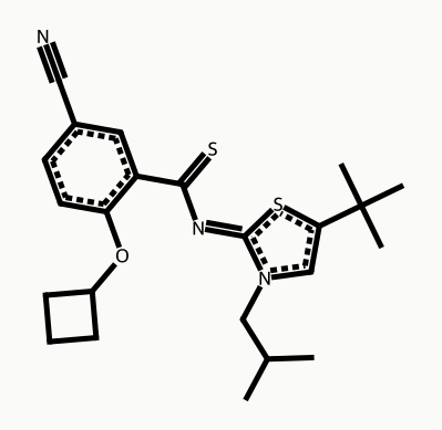 CC(C)Cn1cc(C(C)(C)C)sc1=NC(=S)c1cc(C#N)ccc1OC1CCC1